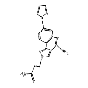 NC(=O)CCn1cc2c(N)nc3cc(-n4cccn4)ccc3c2n1